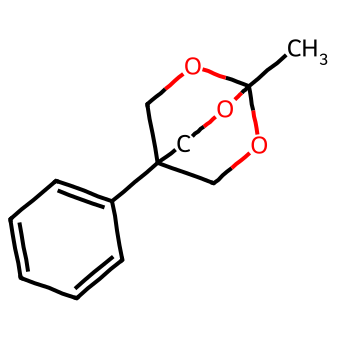 CC12OCC(c3ccccc3)(CO1)CO2